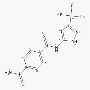 NC(=O)c1ccc(C(=S)Nc2cc(C(F)(F)F)n[nH]2)cc1